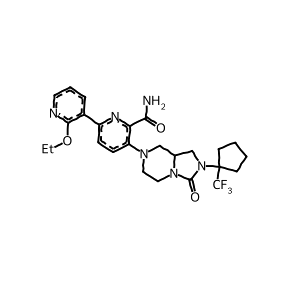 CCOc1ncccc1-c1ccc(N2CCN3C(=O)N(C4(C(F)(F)F)CCCC4)CC3C2)c(C(N)=O)n1